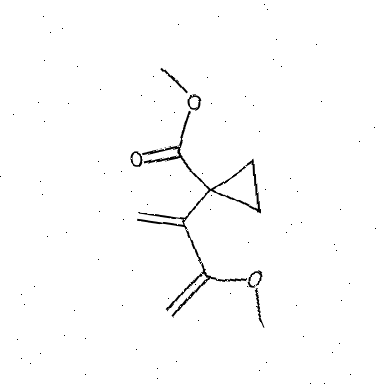 C=C(OC)C(=C)C1(C(=O)OC)CC1